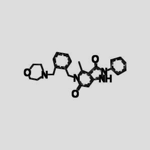 Cc1c2c(=O)n(-c3ccccc3)[nH]c2cc(=O)n1Cc1ccccc1CN1CCOCC1